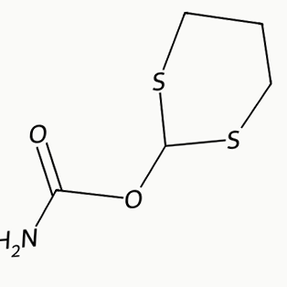 NC(=O)OC1SCCCS1